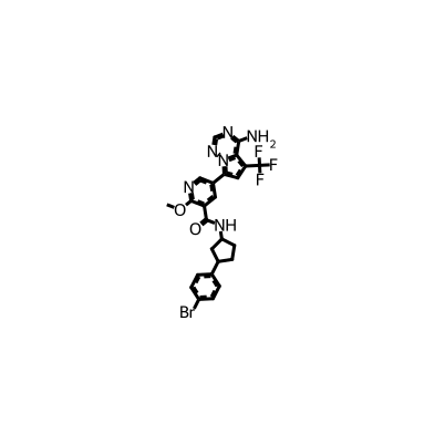 COc1ncc(-c2cc(C(F)(F)F)c3c(N)ncnn23)cc1C(=O)NC1CCC(c2ccc(Br)cc2)C1